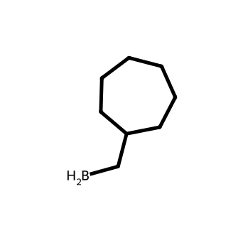 BCC1CCCCCC1